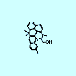 Cc1ccc2cc3c4[n+](c2c1)C(CO)C(C)c1ccc2cccc(c2c1-4)C3(C)C